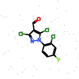 O=Cc1c(Cl)nn(-c2ccc(F)cc2Cl)c1Cl